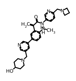 C=C(C(=O)Nc1ccc(CN2CCC2)nc1)c1cc(-c2cncc(CN3CCC(O)CC3)c2)ccc1NC